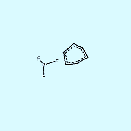 FB(F)F.c1ccccc1